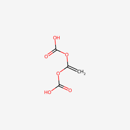 C=C(OC(=O)O)OC(=O)O